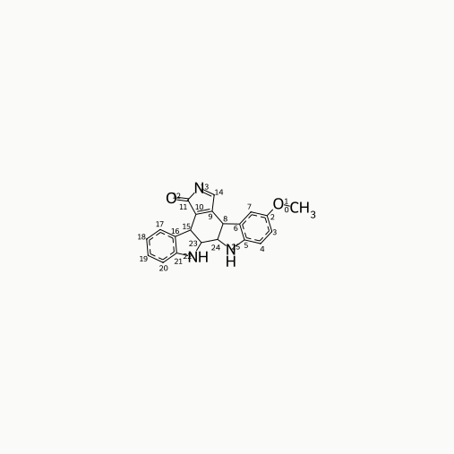 COc1ccc2c(c1)C1C3=C(C(=O)N=C3)C3c4ccccc4NC3C1N2